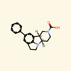 O=C(O)N1CC[C@H]2[C@@H](C1)c1cc(-c3ccccc3)cc3c1N2CC3